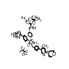 Cc1cc(N2CCOCC2)ncc1-c1ccc(C[C@H](N)C(=O)N(c2ccc(-c3nn[nH]n3)cc2)C(=O)[C@H]2CC[C@H](CNC(=O)OC(C)(C)C)CC2)cc1.O=C(O)C(F)(F)F